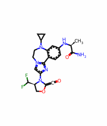 C[C@H](Nc1ccc2c(c1)N(C1CC1)CCn1cc(N3C(=C=O)OC[C@H]3C(F)F)nc1-2)C(N)=O